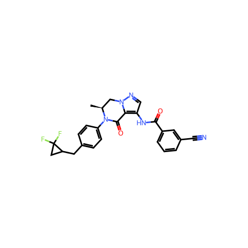 C[C@H]1Cn2ncc(NC(=O)c3cccc(C#N)c3)c2C(=O)N1c1ccc(CC2CC2(F)F)cc1